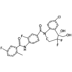 Cc1ccc(F)cc1C(=O)Nc1ccc(C(=O)N2CCC(F)(F)[C@](O)(CO)c3cc(Cl)ccc32)cc1F